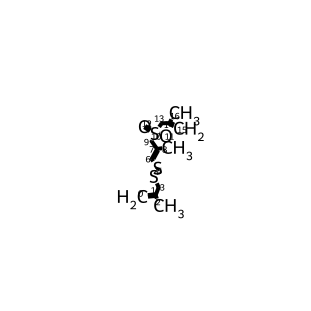 C=C(C)CSS/C=C(\C)CS(=O)(=O)CC(=C)C